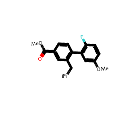 COC(=O)c1ccc(-c2cc(OC)ccc2F)c(CC(C)C)c1